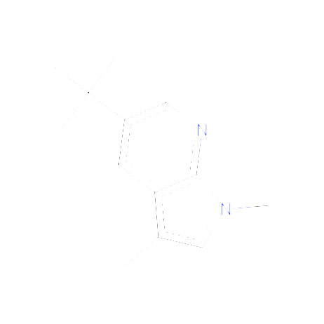 Cc1cn(C)c2ncc(C(C)(C)C)cc12